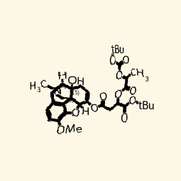 COc1ccc2c3c1O[C@H]1C(OC(=O)CC(OC(=O)C(C)OC(=O)OC(C)(C)C)C(=O)OC(C)(C)C)=CC[C@@]4(O)[C@@H](C2)N(C)CC[C@]314